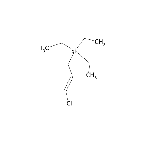 CC[Si](CC)(CC)CC=CCl